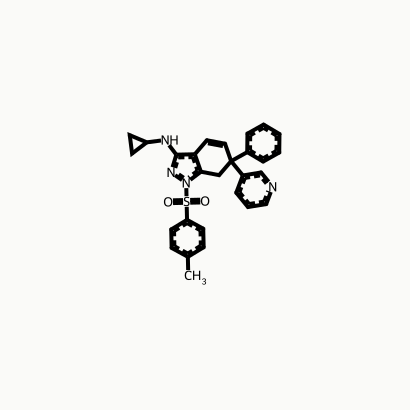 Cc1ccc(S(=O)(=O)n2nc(NC3CC3)c3c2CC(c2ccccc2)(c2cccnc2)C=C3)cc1